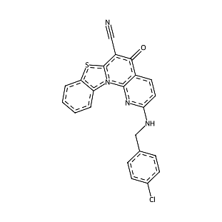 N#Cc1c(=O)c2ccc(NCc3ccc(Cl)cc3)nc2n2c1sc1ccccc12